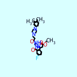 CCOC(=O)Cc1nn(CNC(=O)CCN2CCN(c3ccc(C)c(C)c3)CC2)c(=O)c2cc(F)ccc12